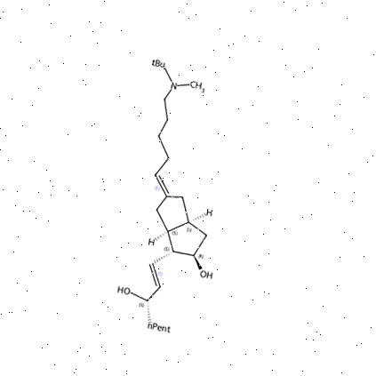 CCCCC[C@H](O)/C=C/[C@@H]1[C@H]2C/C(=C/CCCCN(C)C(C)(C)C)C[C@H]2C[C@H]1O